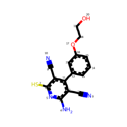 N#Cc1c(N)nc(S)c(C#N)c1-c1cccc(OCCO)c1